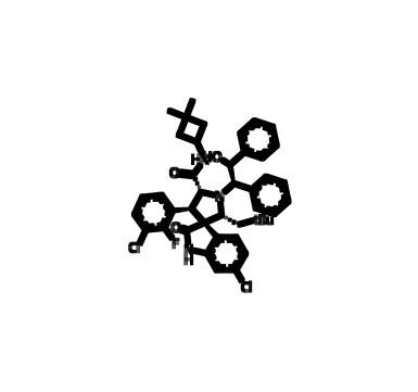 CC(C)(C)C[C@H]1N([C@H](c2ccccc2)C(O)c2ccccc2)[C@@H](C(=O)NC2CC(C)(C)C2)[C@H](c2cccc(Cl)c2F)[C@@]12C(=O)Nc1cc(Cl)ccc12